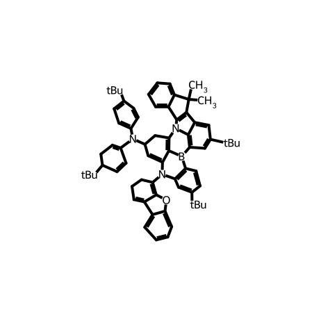 CC(C)(C)c1ccc(N(C2=CCC(C(C)(C)C)C=C2)C2C=C3C4=C(C2)n2c5c(c6cc(C(C)(C)C)cc(c62)B4c2ccc(C(C)(C)C)cc2N3C2=c3oc4ccccc4c3=CCC2)C(C)(C)c2ccccc2-5)cc1